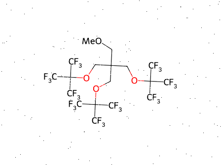 COCC(COC(C(F)(F)F)(C(F)(F)F)C(F)(F)F)(COC(C(F)(F)F)(C(F)(F)F)C(F)(F)F)COC(C(F)(F)F)(C(F)(F)F)C(F)(F)F